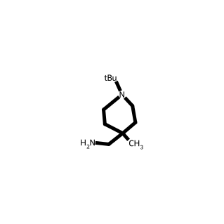 CC1(CN)CCN(C(C)(C)C)CC1